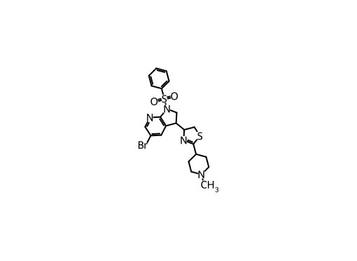 CN1CCC(C2=NC(C3CN(S(=O)(=O)c4ccccc4)c4ncc(Br)cc43)CS2)CC1